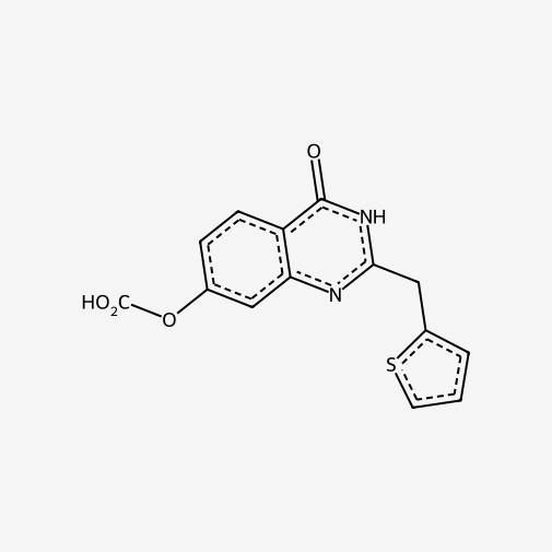 O=C(O)Oc1ccc2c(=O)[nH]c(Cc3cccs3)nc2c1